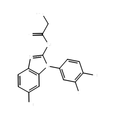 Cc1ccc2nc(NC(=O)CC(C)(C)C)n(-c3ccc(C)c(F)c3)c2c1